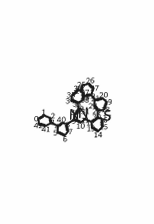 c1ccc(-c2cccc(-c3cc(-c4cccc5sc6ccc(-c7ccccc7)cc6c45)nc(-c4ccccc4)n3)c2)cc1